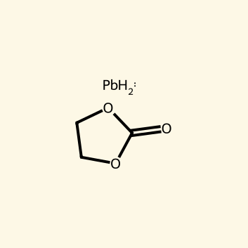 O=C1OCCO1.[PbH2]